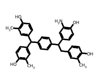 Cc1cc(CC(c2ccc(C(c3ccc(O)c(C)c3)c3ccc(O)c(C)c3)cc2)c2ccc(O)c(N)c2)ccc1O